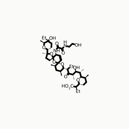 CCC(C(=O)[C@@H](C)[C@@H](O)[C@H](C)[C@@H]1O[C@@H]([C@@H](CC)C(=O)O)CC[C@@H]1C)[C@H]1O[C@]2(C=C[C@@H](NC(=O)C(=O)NCCO)[C@]3(CC[C@@](C)([C@H]4CC[C@](O)(CC)[C@H](C)O4)O3)O2)[C@H](C)C[C@@H]1C